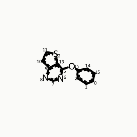 c1ccc(Oc2ncnc3ccsc23)cc1